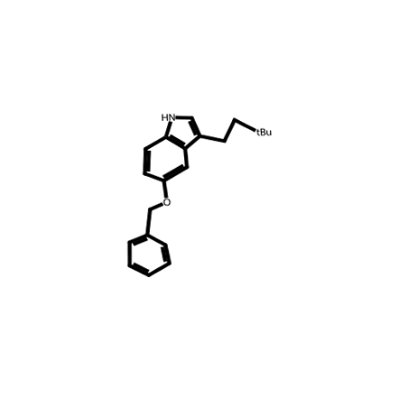 CC(C)(C)CCc1c[nH]c2ccc(OCc3ccccc3)cc12